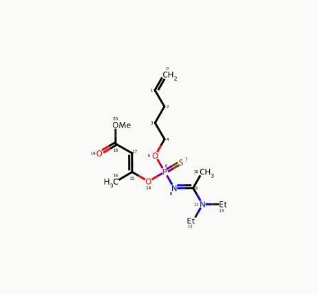 C=CCCCOP(=S)(N=C(C)N(CC)CC)OC(C)=CC(=O)OC